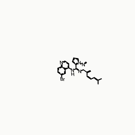 C=Nn1cccc1/C(=N\CC(=C)/C=C\C=C(C)C)Nc1ccnc2ccc(Br)cc12